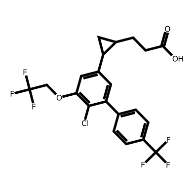 O=C(O)CCC1CC1c1cc(OCC(F)(F)F)c(Cl)c(-c2ccc(C(F)(F)F)cc2)c1